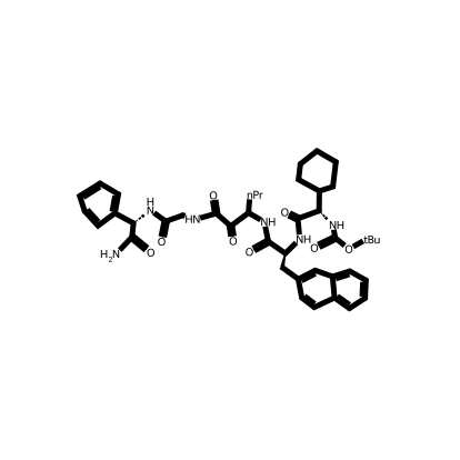 CCCC(NC(=O)[C@H](Cc1ccc2ccccc2c1)NC(=O)[C@@H](NC(=O)OC(C)(C)C)C1CCCCC1)C(=O)C(=O)NCC(=O)N[C@H](C(N)=O)c1ccccc1